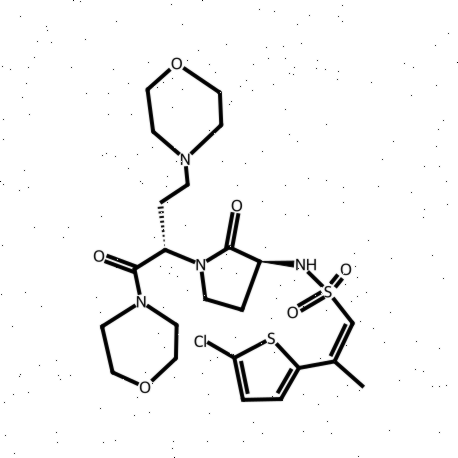 CC(=CS(=O)(=O)N[C@H]1CCN([C@@H](CCN2CCOCC2)C(=O)N2CCOCC2)C1=O)c1ccc(Cl)s1